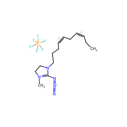 CC/C=C\C/C=C\CCCN1CC[N+](C)=C1N=[N+]=[N-].F[P-](F)(F)(F)(F)F